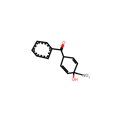 O=C(c1ccccc1)C1C=CC(O)([N+](=O)[O-])C=C1